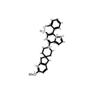 COc1ccc2c(n1)CC1(CCN(c3nc(C)c(-c4ccccc4F)n4nccc34)CC1)C2